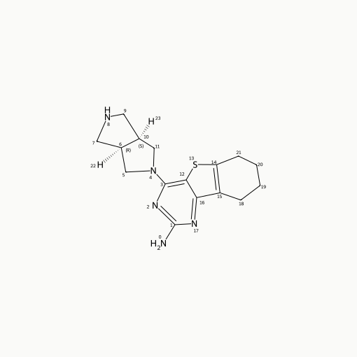 Nc1nc(N2C[C@H]3CNC[C@H]3C2)c2sc3c(c2n1)CCCC3